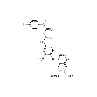 COc1cc2nccc(Oc3ncc(PC(=O)CC(=O)B(C)c4ccc(F)cc4)cc3N)c2cc1OC